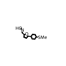 CSc1ccc(-c2ccc(C=NO)o2)cc1